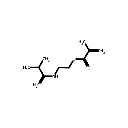 C=C(C)C(=O)OCCNC(=C)C(C)C